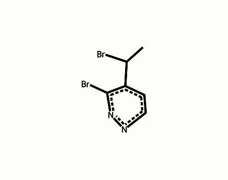 CC(Br)c1ccnnc1Br